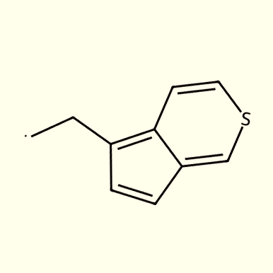 [CH2]Cc1ccc2csccc1-2